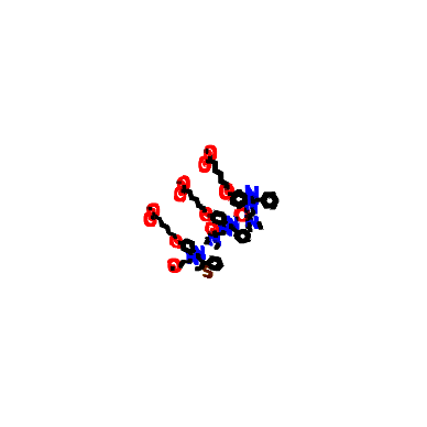 CCN(CC)C(=O)Cn1c(-c2ccccc2)nc2cc(OCCCCCC(=O)OC)ccc21.CCN(CC)C(=O)Cn1c(-c2ccccc2)nc2ccc(OCCCCCC(=O)OC)cc21.COCCCn1c(-c2c(C)sc3ccccc23)nc2ccc(OCCCCCC(=O)OC)cc21